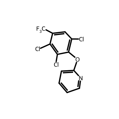 FC(F)(F)c1cc(Cl)c(Oc2ccccn2)c(Cl)c1Cl